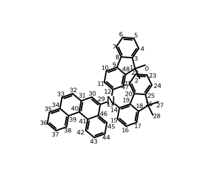 CC1(C)c2ccccc2-c2ccc(N(c3cccc4c3-c3ccccc3C4(C)C)c3cc4ccc5ccccc5c4c4ccccc34)cc21